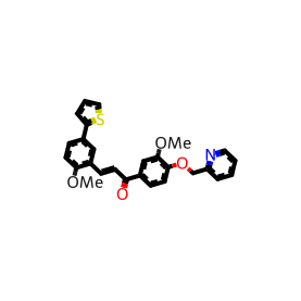 COc1ccc(-c2cccs2)cc1/C=C/C(=O)c1ccc(OCc2ccccn2)c(OC)c1